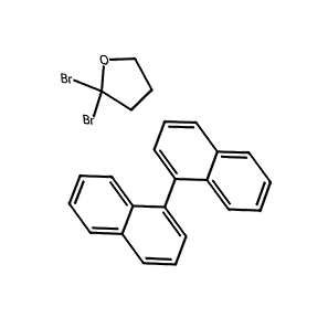 BrC1(Br)CCCO1.c1ccc2c(-c3cccc4ccccc34)cccc2c1